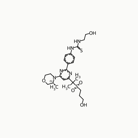 C[C@H]1COCCN1c1cc(C(C)(C)S(=O)(=O)CCCO)nc(-c2ccc(NC(=S)NCCO)cc2)n1